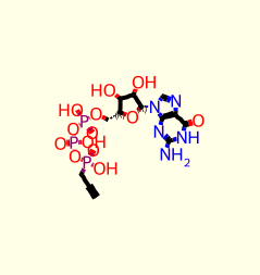 C#CCP(=O)(O)OP(=O)(O)OP(=O)(O)OC[C@H]1O[C@@H](n2cnc3c(=O)[nH]c(N)nc32)C(O)C1O